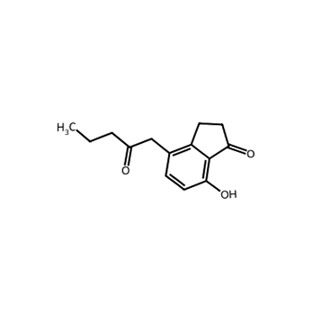 CCCC(=O)Cc1ccc(O)c2c1CCC2=O